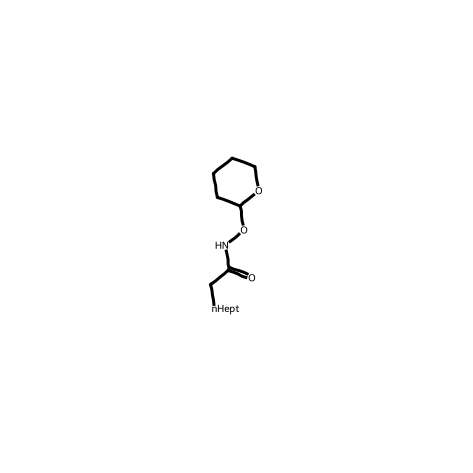 CCCCCCCCC(=O)NOC1CCCCO1